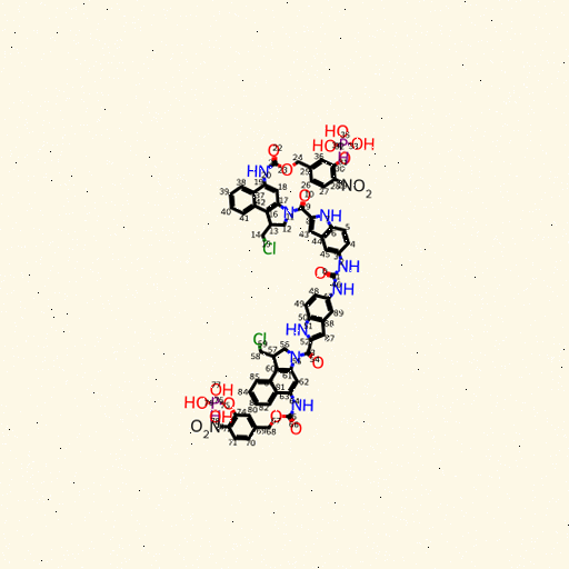 O=C(Nc1ccc2[nH]c(C(=O)N3CC(CCl)c4c3cc(NC(=O)OCc3ccc([N+](=O)[O-])c(O[PH](O)(O)O)c3)c3ccccc43)cc2c1)Nc1ccc2[nH]c(C(=O)N3CC(CCl)c4c3cc(NC(=O)OCc3ccc([N+](=O)[O-])c(O[PH](O)(O)O)c3)c3ccccc43)cc2c1